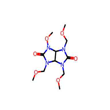 COCN1C(=O)N(COC)C2C1N(COC)C(=O)N2OC